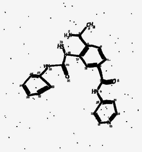 CC(N)c1ccc(C(=O)Nc2ccncc2)cc1N(S)C(=O)Nc1ccccc1